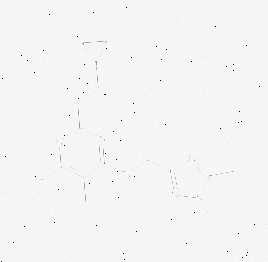 Cc1c(Cl)nc(OCC2CC2)nc1NCc1nc(C)n(C)n1